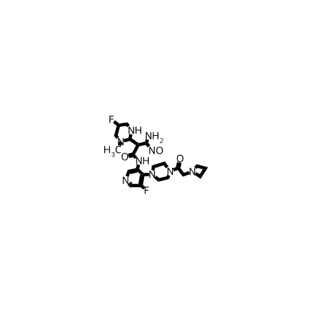 CN1CC(F)CNC1C(C(=O)Nc1cncc(F)c1N1CCN(C(=O)CN2CCC2)CC1)C(N)N=O